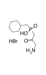 Br.NCC(=O)CP(=O)(O)CC1CCCCC1